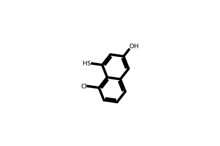 Oc1cc(S)c2c(Cl)cccc2c1